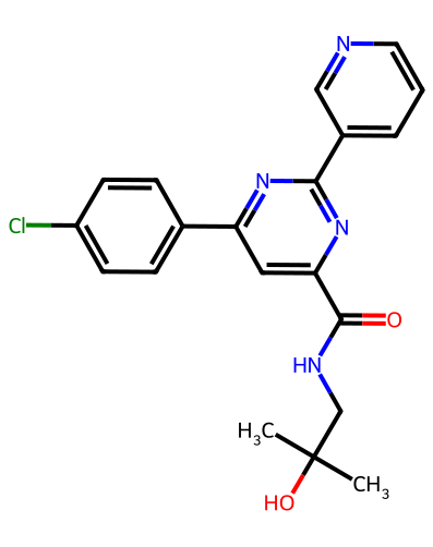 CC(C)(O)CNC(=O)c1cc(-c2ccc(Cl)cc2)nc(-c2cccnc2)n1